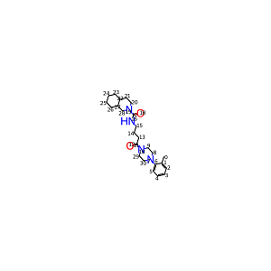 Cc1ccccc1N1CCN(C(=O)CCCNC(=O)N2CCC3CCCCC3C2)CC1